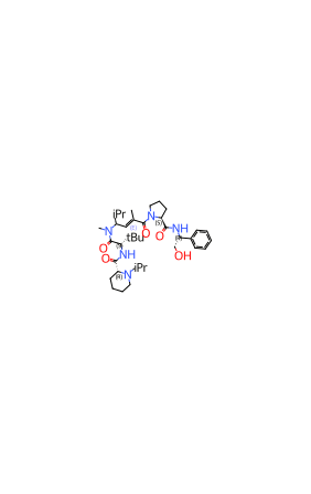 C/C(=C\C(C(C)C)N(C)C(=O)[C@@H](NC(=O)[C@H]1CCCCN1C(C)C)C(C)(C)C)C(=O)N1CCC[C@H]1C(=O)N[C@@H](CO)c1ccccc1